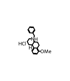 COc1cccc2c1CC[C@@H]1[C@@H]2CCCN1Cc1ccccc1.Cl